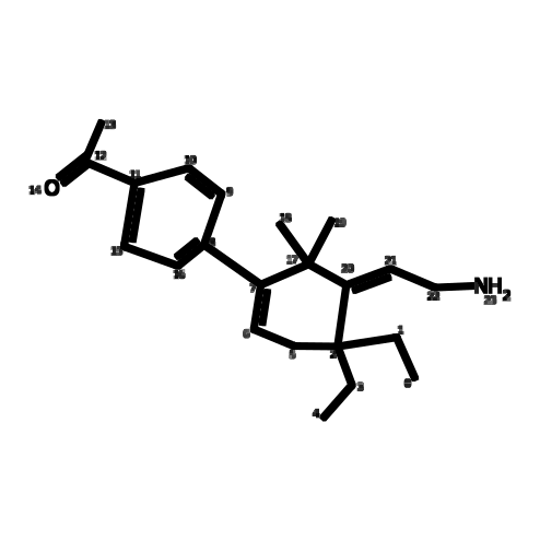 CCC1(CC)CC=C(c2ccc(C(C)=O)cc2)C(C)(C)/C1=C/CN